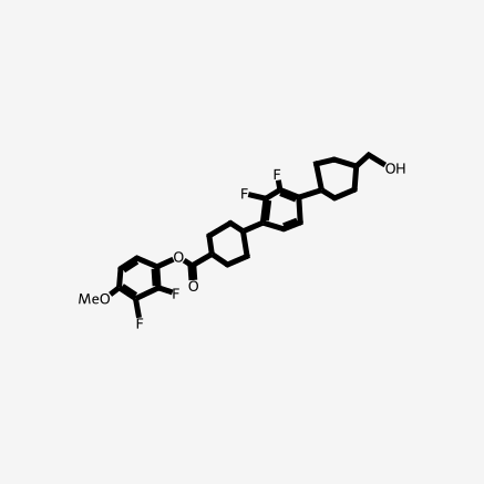 COc1ccc(OC(=O)C2CCC(c3ccc(C4CCC(CO)CC4)c(F)c3F)CC2)c(F)c1F